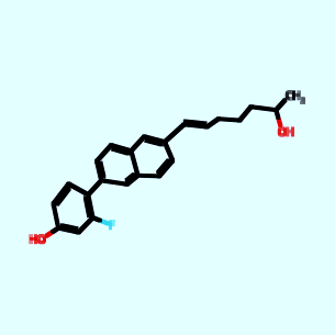 CC(O)CCC/C=C/c1ccc2cc(-c3ccc(O)cc3F)ccc2c1